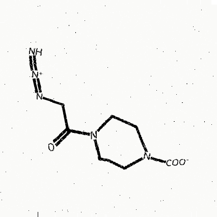 N=[N+]=NCC(=O)N1CCN(C(=O)[O-])CC1